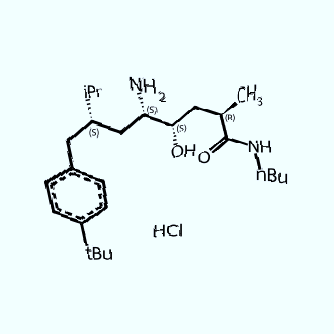 CCCCNC(=O)[C@H](C)C[C@H](O)[C@@H](N)C[C@H](Cc1ccc(C(C)(C)C)cc1)C(C)C.Cl